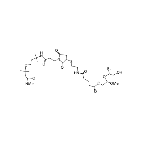 CCC(CO)OC(COC(=O)CCCC(=O)NCCSC1CC(=O)N(CCC(=O)NC(C)(C)CCOC(C)(C)CC(=O)NC)C1=O)OC